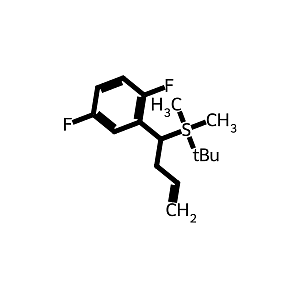 C=CCC(c1cc(F)ccc1F)S(C)(C)C(C)(C)C